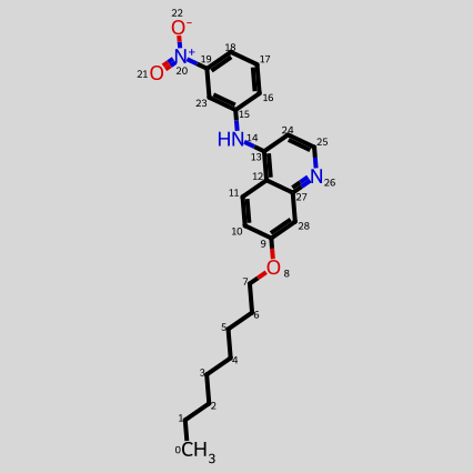 CCCCCCCCOc1ccc2c(Nc3cccc([N+](=O)[O-])c3)ccnc2c1